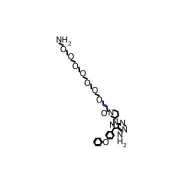 NCCOCCOCCOCCOCCOCCOCCOC/C=C/C(=O)N1CCC[C@@H](n2nc(-c3ccc(Oc4ccccc4)cc3)c3c(N)ncnc32)C1